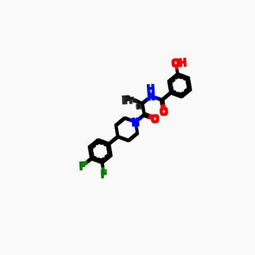 CC(C)[C@@H](NC(=O)c1cccc(O)c1)C(=O)N1CCC(c2ccc(F)c(F)c2)CC1